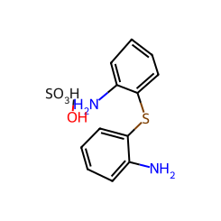 Nc1ccccc1Sc1ccccc1N.O=S(=O)(O)O